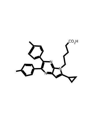 Cc1ccc(-c2nc3cc(C4CC4)n(CCCCC(=O)O)c3nc2-c2ccc(C)cc2)cc1